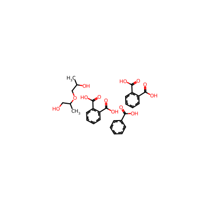 CC(O)COC(C)CO.O=C(O)c1ccccc1.O=C(O)c1ccccc1C(=O)O.O=C(O)c1ccccc1C(=O)O